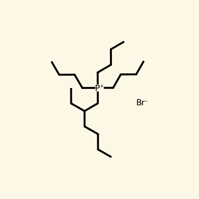 CCCCC(CC)C[P+](CCCC)(CCCC)CCCC.[Br-]